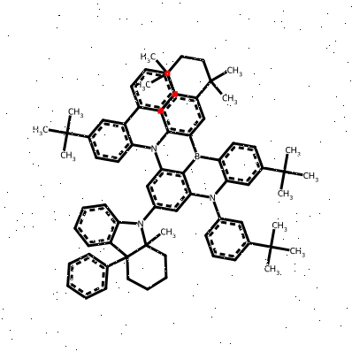 CC(C)(C)c1cccc(N2c3cc(C(C)(C)C)ccc3B3c4cc5c(cc4N(c4ccc(C(C)(C)C)cc4-c4ccccc4)c4cc(N6c7ccccc7C7(c8ccccc8)CCCCC67C)cc2c43)C(C)(C)CCC5(C)C)c1